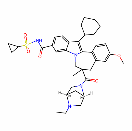 CCN1C[C@H]2C[C@@H]1CN2C(=O)C1(C)Cc2cc(OC)ccc2-c2c(C3CCCCC3)c3ccc(C(=O)NS(=O)(=O)C4CC4)cc3n2C1